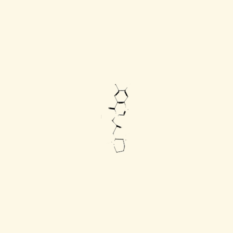 O=C(C[C@@H]1NCCC[C@H]1O)Cn1cnc2cc(Br)c(Cl)cc2c1=O.[PbH2]